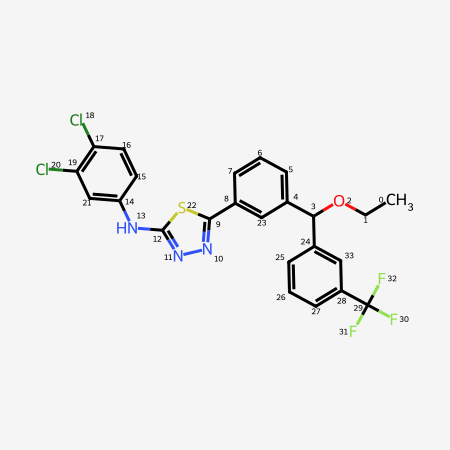 CCOC(c1cccc(-c2nnc(Nc3ccc(Cl)c(Cl)c3)s2)c1)c1cccc(C(F)(F)F)c1